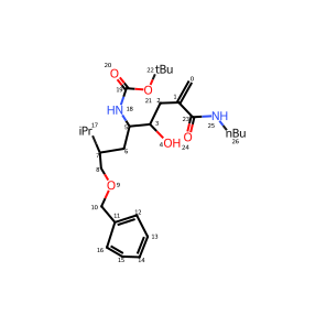 C=C(CC(O)C(CC(COCc1ccccc1)C(C)C)NC(=O)OC(C)(C)C)C(=O)NCCCC